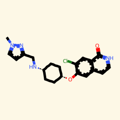 Cn1ccc(CN[C@H]2CC[C@@H](Oc3cc4cc[nH]c(=O)c4cc3Cl)CC2)n1